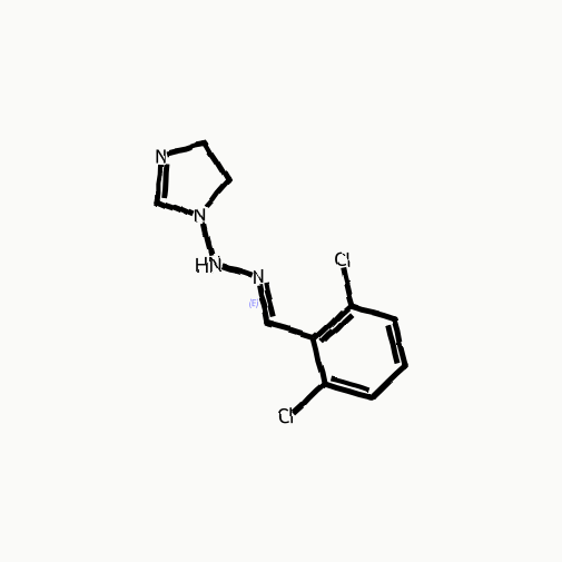 Clc1cccc(Cl)c1/C=N/NN1C=NCC1